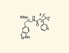 CN[C@H](CNC(=O)C[C@H](c1cccnc1)C1(C(F)(F)F)CC1)Cc1ccc2[nH]ncc2c1